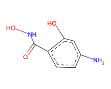 Nc1ccc(C(=O)NO)c(O)c1